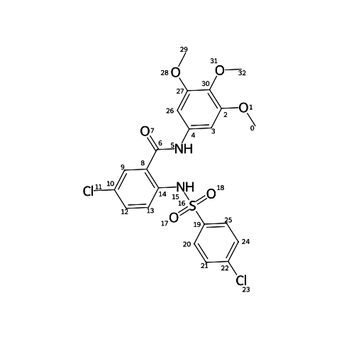 COc1cc(NC(=O)c2cc(Cl)ccc2NS(=O)(=O)c2ccc(Cl)cc2)cc(OC)c1OC